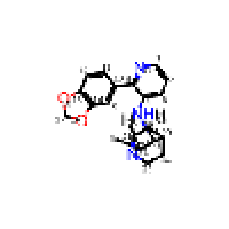 C[C@@H]1[C@@H](Nc2cccnc2-c2ccc3c(c2)OCO3)C2CCN1CC2